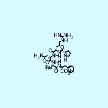 CC[C@H](C)[C@H](NC(=O)[C@H](CC(N)=O)NC(=O)[C@H](CCCNC(=N)N)NC(=O)[C@@H]1CCCN1)C(=O)N[C@@H](Cc1ccccc1)C(=O)O